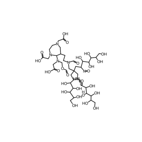 O=COCN(CC(=O)O)C1C(CCN(C=O)CC(CNOCC(O)C(O)C(O)C(O)CO)(CC(N=O)C(O)C(O)C(O)C(O)CO)CC(N=O)C(O)C(O)C(O)C(O)CO)CN(CC(=O)O)CCN1CC(=O)O